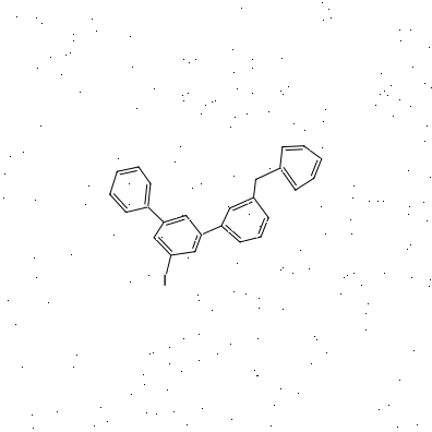 Ic1cc(-c2ccccc2)cc(-c2cccc(Cc3ccccc3)c2)c1